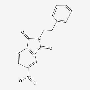 O=C1c2ccc([N+](=O)[O-])cc2C(=O)N1CCc1ccccc1